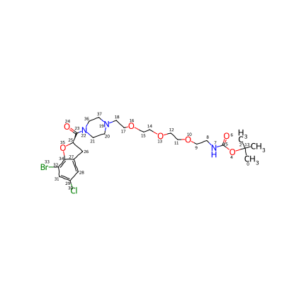 CC(C)(C)OC(=O)NCCOCCOCCOCCN1CCN(C(=O)[C@H]2Cc3cc(Cl)cc(Br)c3O2)CC1